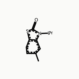 Cc1ccc2sc(=O)n(C(C)C)c2c1